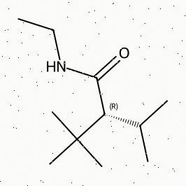 CCNC(=O)[C@H](C(C)C)C(C)(C)C